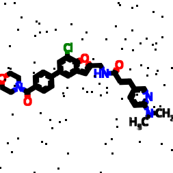 CN(C)c1ccc(C=CC(=O)NCc2cc3cc(-c4ccc(C(=O)N5CCOCC5)cc4)cc(Cl)c3o2)cn1